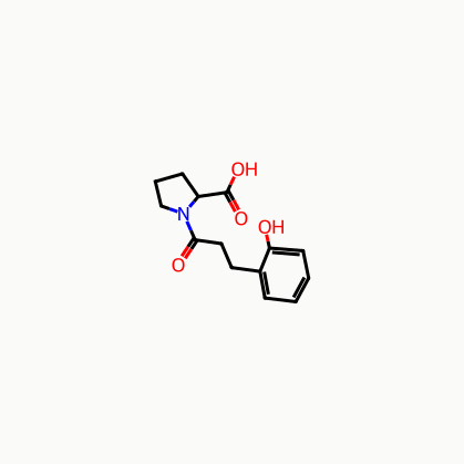 O=C(O)C1CCCN1C(=O)CCc1ccccc1O